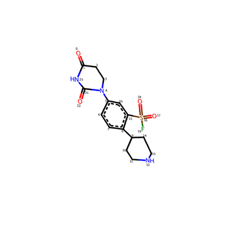 O=C1CCN(c2ccc(C3CCNCC3)c(S(=O)(=O)F)c2)C(=O)N1